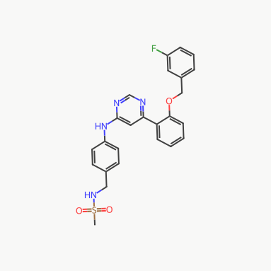 CS(=O)(=O)NCc1ccc(Nc2cc(-c3ccccc3OCc3cccc(F)c3)ncn2)cc1